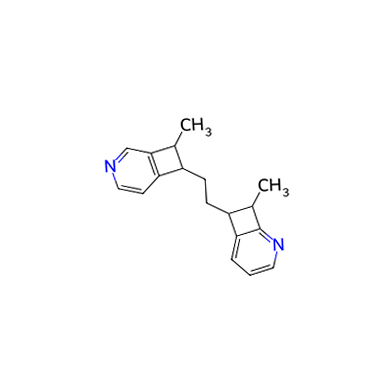 CC1c2cnccc2C1CCC1c2cccnc2C1C